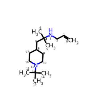 C=CCNC(C)(C)CC1CCN(C(C)(C)C)CC1